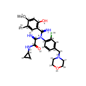 COc1cc(O)c(C(=N)N(C(=N)C(=O)NC2CC2)c2ccc(CN3CCOCC3)cc2F)cc1C(C)C